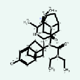 CCN(CC)C(=O)N(C1CCCCC1)C1CC2CCC(C1)N2C(=O)[C@@H](Cc1ccc(Cl)cc1)NC(C)/C=N/O